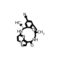 C#C[C@H]1Nc2ccn3ncc(c3n2)C(=O)NCC2(C)Cc3cc(C#N)cc1c3O2